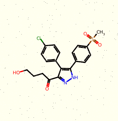 CS(=O)(=O)c1ccc(-c2[nH]nc(C(=O)CCCO)c2-c2ccc(Cl)cc2)cc1